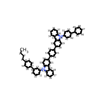 CCCCc1ccc(-c2cccc(-n3c4ccccc4c4cc(-c5ccc(-c6ccc7c(c6)c6ccccc6n7-c6ccc(-c7ccccc7)cc6)cc5)ccc43)c2)cc1